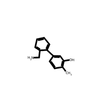 Cc1ccc(-c2ccccc2CN)cc1O